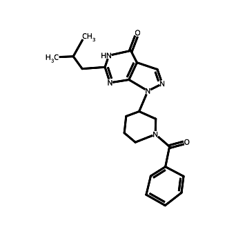 CC(C)Cc1nc2c(cnn2C2CCCN(C(=O)c3ccccc3)C2)c(=O)[nH]1